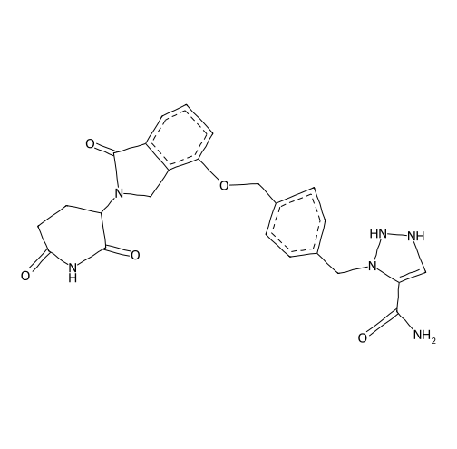 NC(=O)C1=CNNN1Cc1ccc(COc2cccc3c2CN(C2CCC(=O)NC2=O)C3=O)cc1